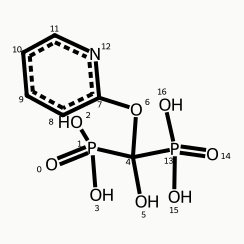 O=P(O)(O)C(O)(Oc1ccccn1)P(=O)(O)O